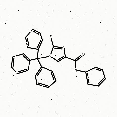 O=C(Nc1ccccc1)c1cn(C(c2ccccc2)(c2ccccc2)c2ccccc2)c(F)n1